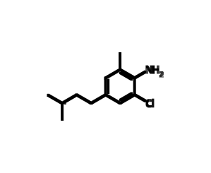 C[C](C)CCc1cc(C)c(N)c(Cl)c1